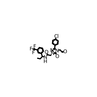 CCC(NC(=O)Cn1nc(-c2ccc(Cl)cc2)n(CC=O)c1=O)c1cccc(C(F)(F)F)c1